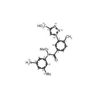 CON(C(=O)c1ccc(C)c(-n2cc(C(=O)O)nn2)c1)c1cc(N)cc(C(C)(C)C)c1